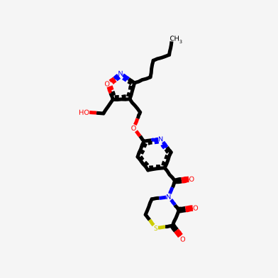 CCCCc1noc(CO)c1COc1ccc(C(=O)N2CCSC(=O)C2=O)cn1